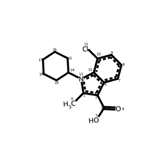 Cc1c(C(=O)O)c2cccc(Cl)c2n1C1CCCCC1